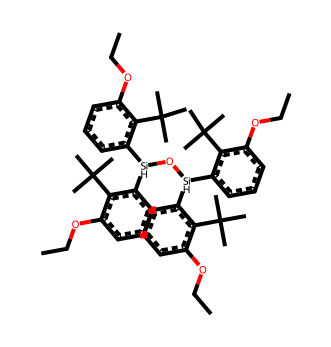 CCOc1cccc([SiH](O[SiH](c2cccc(OCC)c2C(C)(C)C)c2cccc(OCC)c2C(C)(C)C)c2cccc(OCC)c2C(C)(C)C)c1C(C)(C)C